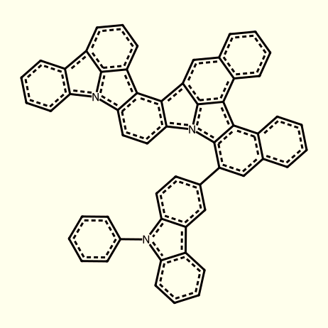 c1ccc(-n2c3ccccc3c3cc(-c4cc5ccccc5c5c6c7ccccc7cc7c8c9c%10cccc%11c%12ccccc%12n(c9ccc8n(c45)c76)c%11%10)ccc32)cc1